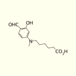 CN(CCCCCC(=O)O)c1ccc(C=O)c(O)c1